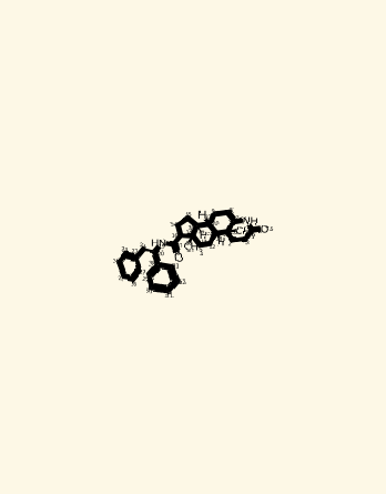 C[C@]12CCC(=O)NC1CC[C@@H]1[C@H]2CC[C@]2(C)C(C(=O)N[C@H](Cc3ccccc3)c3ccccc3)CC[C@@H]12